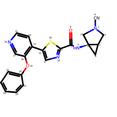 N#CN1CC2C[C@]2(NC(=O)c2ncc(-c3ccncc3Oc3ccccc3)s2)C1